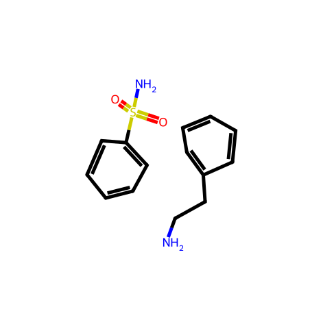 NCCc1ccccc1.NS(=O)(=O)c1ccccc1